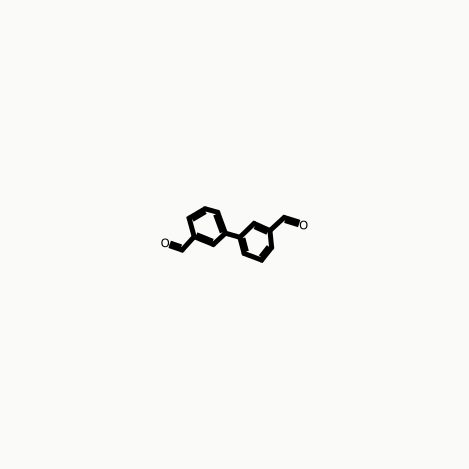 O=Cc1cccc(-c2cccc(C=O)c2)c1